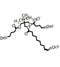 CCCCCCCC/C=C\CCCCCCCC(=O)OCC(COC(=O)CCCCCCCCCCCCC)(COC(=O)CCCCCCCCCCCCC)[N+](C)(C)C.[Cl-]